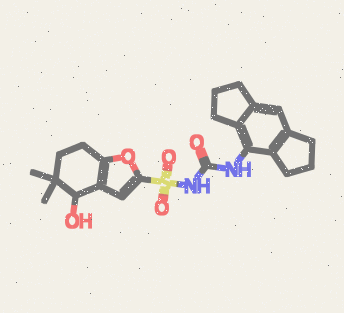 CC1(C)CCc2oc(S(=O)(=O)NC(=O)Nc3c4c(cc5c3CCC5)CCC4)cc2C1O